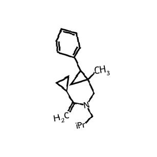 C=C(C1CC1)N(CC(C)C)CC1(C)CC1c1ccccc1